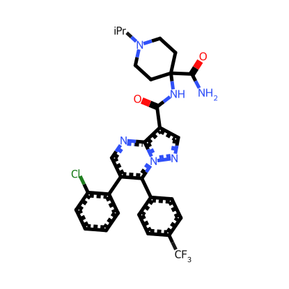 CC(C)N1CCC(NC(=O)c2cnn3c(-c4ccc(C(F)(F)F)cc4)c(-c4ccccc4Cl)cnc23)(C(N)=O)CC1